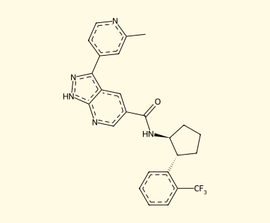 Cc1cc(-c2n[nH]c3ncc(C(=O)N[C@H]4CCC[C@@H]4c4ccccc4C(F)(F)F)cc23)ccn1